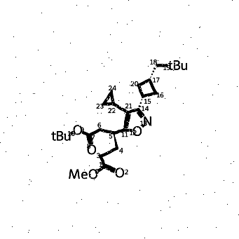 COC(=O)CC[C@@H](CC(=O)OC(C)(C)C)c1onc([C@H]2C[C@@H](CC(C)(C)C)C2)c1C1CC1